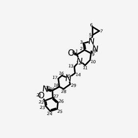 O=C1c2cn(C3CC3)nc2CCN1CCN1CCC(c2noc3ccccc23)CC1